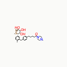 Cc1ccc([C@H]2[C@H](O)[C@H](O)[C@H](O)C[SH]2C)cc1Cc1ccc(CCCCC(=O)N2CCN(C)CC2)cc1